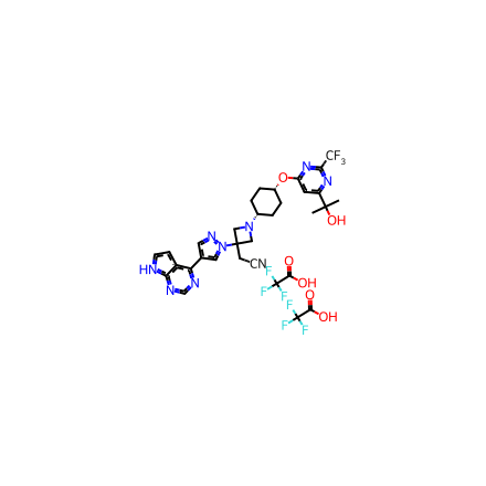 CC(C)(O)c1cc(O[C@H]2CC[C@@H](N3CC(CC#N)(n4cc(-c5ncnc6[nH]ccc56)cn4)C3)CC2)nc(C(F)(F)F)n1.O=C(O)C(F)(F)F.O=C(O)C(F)(F)F